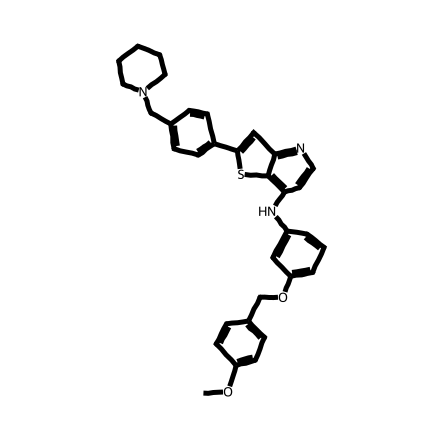 COc1ccc(COc2cccc(Nc3ccnc4cc(-c5ccc(CN6CCCCC6)cc5)sc34)c2)cc1